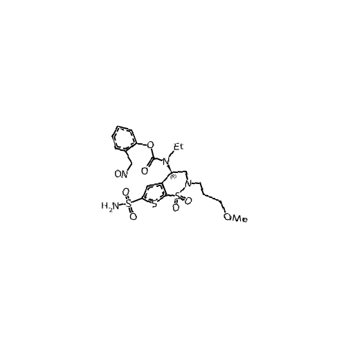 CCN(C(=O)Oc1ccccc1CN=O)[C@H]1CN(CCCOC)S(=O)(=O)c2sc(S(N)(=O)=O)cc21